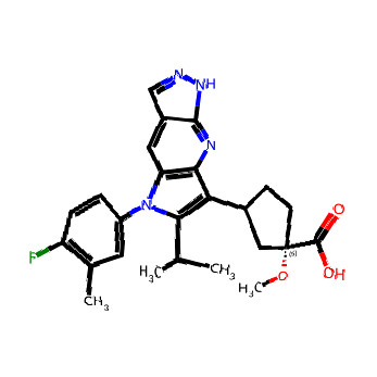 CO[C@@]1(C(=O)O)CCC(c2c(C(C)C)n(-c3ccc(F)c(C)c3)c3cc4cn[nH]c4nc23)C1